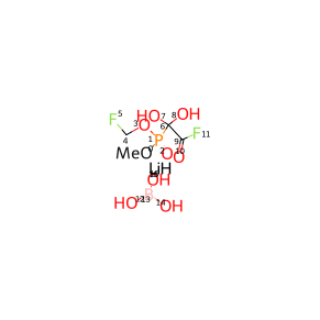 COP(=O)(OCF)C(O)(O)C(=O)F.OB(O)O.[LiH]